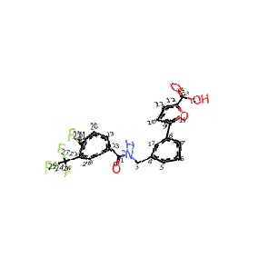 O=C(NCc1cccc(-c2ccc(C(=O)O)o2)c1)c1ccc(F)c(C(F)(F)F)c1